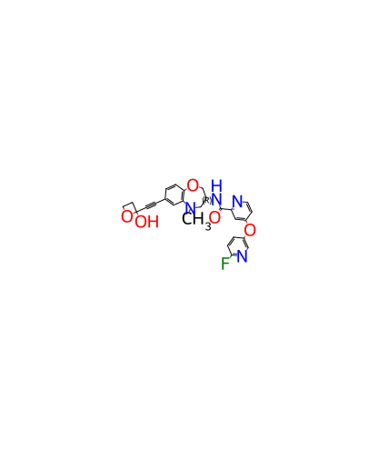 CN1C[C@@H](NC(=O)c2cc(Oc3ccc(F)nc3)ccn2)COc2ccc(C#CC3(O)CCO3)cc21